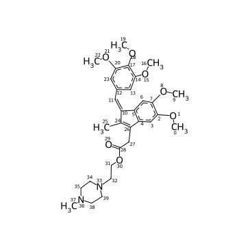 COc1cc2c(cc1OC)/C(=C\c1cc(OC)c(OC)c(OC)c1)C(C)=C2CC(=O)OCCN1CCN(C)CC1